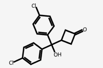 O=C1CC(C(O)(c2ccc(Cl)cc2)c2ccc(Cl)cc2)C1